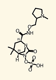 CN1CCCC1CONC(=O)[C@@H]1CC(C)(C)[C@@H]2CN1C(=O)N2OS(=O)(=O)O